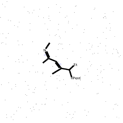 CCCCCC(CC)/C(C)=C/C(C)=N\C